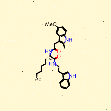 COc1ccc2[nH]c(C)c(CC(=O)N[C@@H](CCCCCC(C)=O)C(=O)NCCc3c[nH]c4ccccc34)c2c1